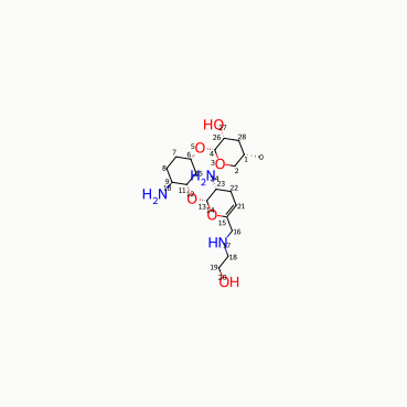 C[C@@H]1CO[C@H](O[C@H]2CC[C@H](N)[C@@H](O[C@H]3OC(CNCCO)=CC[C@H]3N)C2)[C@H](O)C1